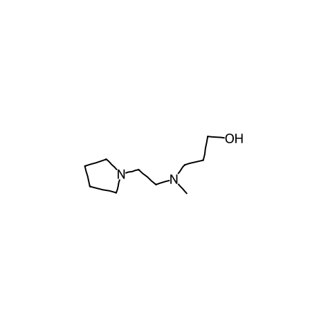 CN(CCCO)CCN1CCCC1